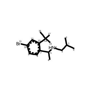 CC(C)CNC(C)c1ccc(Br)cc1C(C)(C)C